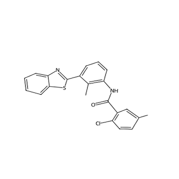 Cc1ccc(Cl)c(C(=O)Nc2cccc(-c3nc4ccccc4s3)c2C)c1